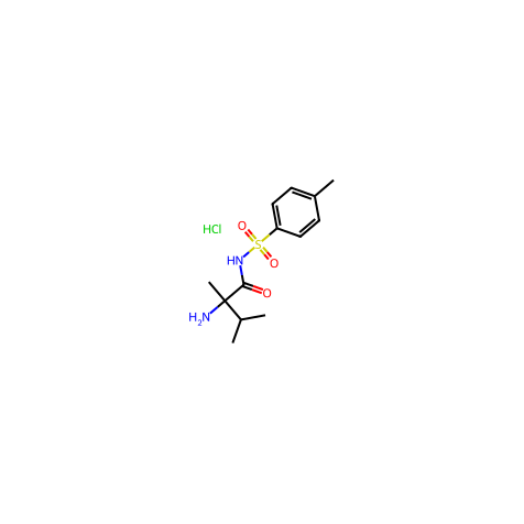 Cc1ccc(S(=O)(=O)NC(=O)C(C)(N)C(C)C)cc1.Cl